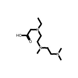 CCN(CCN(C)CCN(C)C)CC(=O)O